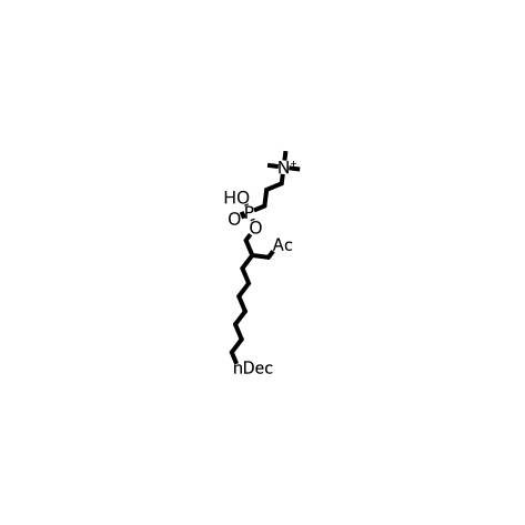 CCCCCCCCCCCCCCCCCC(COP(=O)(O)CCC[N+](C)(C)C)CC(C)=O